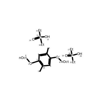 CCCCCCCCOc1cc(C)c(OCCCCCCCC)cc1C.CCP(=O)(O)CC.CCP(=O)(O)CC